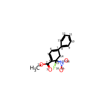 COC(=O)C1=CC=C(c2ccccc2)CC1(F)[N+](=O)[O-]